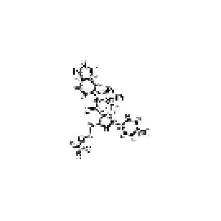 CC(C)[Si](C(C)C)(C(C)C)N(C(=O)c1sc(-c2ccc(Cl)cc2)nc1CCOS(C)(=O)=O)c1ccc2[nH]ccc2c1